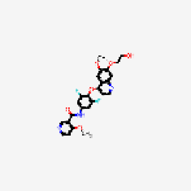 COc1cc2c(Oc3c(F)cc(NC(=O)c4cnccc4OC)cc3F)ccnc2cc1OCCO